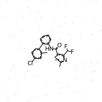 Cc1nc(C(F)F)c(C(=O)Nc2ccccc2-c2ccc(Cl)cc2C)s1